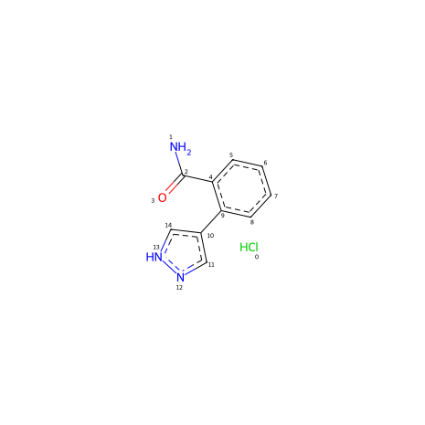 Cl.NC(=O)c1ccccc1-c1cn[nH]c1